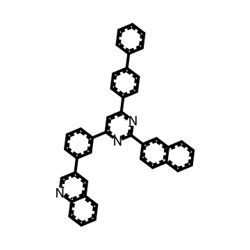 c1ccc(-c2ccc(-c3cc(-c4cccc(-c5cnc6ccccc6c5)c4)nc(-c4ccc5ccccc5c4)n3)cc2)cc1